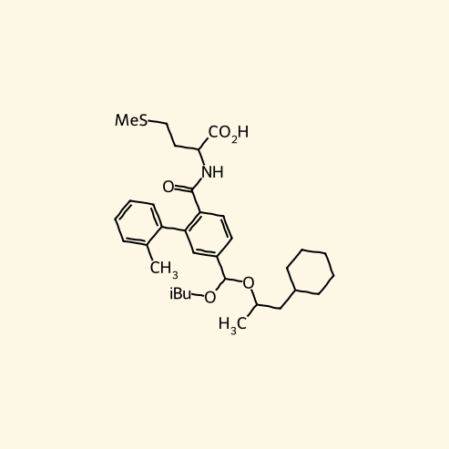 CCC(C)OC(OC(C)CC1CCCCC1)c1ccc(C(=O)NC(CCSC)C(=O)O)c(-c2ccccc2C)c1